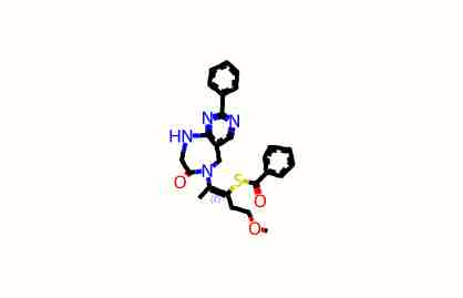 COCC/C(SC(=O)c1ccccc1)=C(\C)N1Cc2cnc(-c3ccccc3)nc2NCC1=O